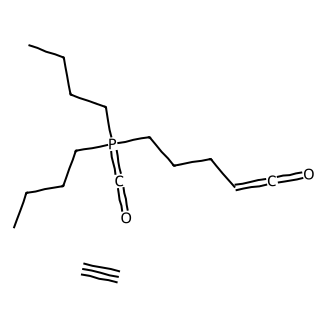 C#C.CCCCP(=C=O)(CCCC)CCCC=C=O